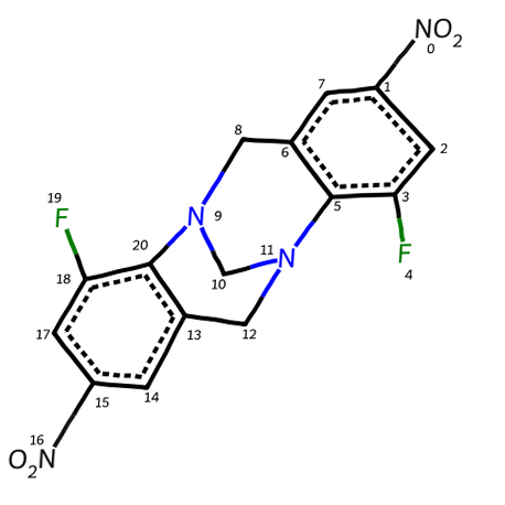 O=[N+]([O-])c1cc(F)c2c(c1)CN1CN2Cc2cc([N+](=O)[O-])cc(F)c21